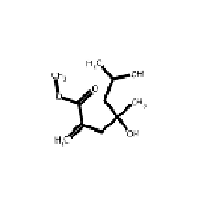 C=C(CC(C)(O)CC(C)O)C(=O)OC